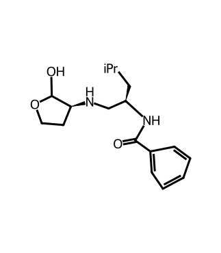 CC(C)C[C@H](CN[C@H]1CCOC1O)NC(=O)c1ccccc1